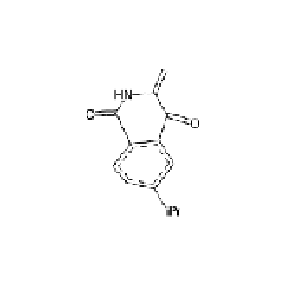 C=C1NC(=O)c2ccc(C(C)C)cc2C1=O